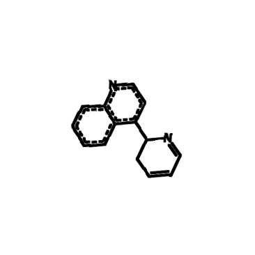 C1=CCC(c2ccnc3ccccc23)N=C1